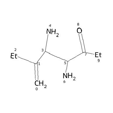 C=C(CC)C(N)C(N)C(=O)CC